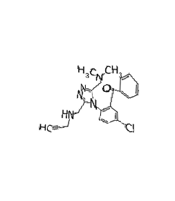 C#CCNCc1nnc(CN(C)C)n1-c1ccc(Cl)cc1C(=O)c1ccccc1